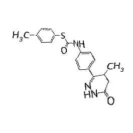 Cc1ccc(SC(=O)Nc2ccc(C3=NNC(=O)CC3C)cc2)cc1